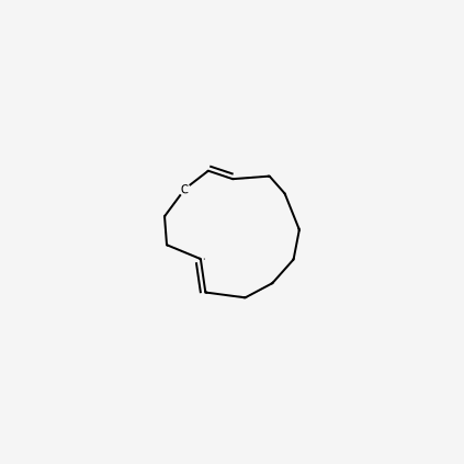 [C]1=C/CCCCCC/C=C/CCC/1